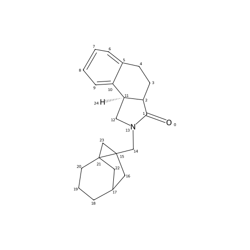 O=C1C2CCc3ccccc3[C@@H]2CN1CC12CC3CCCC1(C3)C2